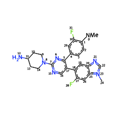 CNc1ccc(-c2nc(N3CCC(N)CC3)ncc2-c2cc3ncn(C)c3cc2F)cc1F